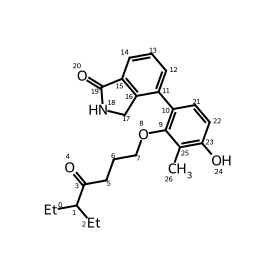 CCC(CC)C(=O)CCCOc1c(-c2cccc3c2CNC3=O)ccc(O)c1C